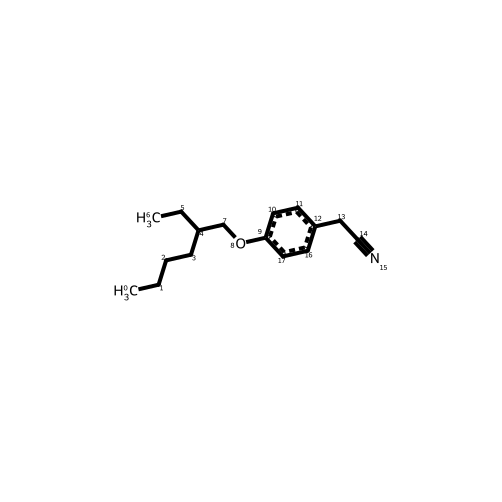 CCCCC(CC)COc1ccc(CC#N)cc1